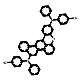 N#Cc1ccc(N(c2ccccc2)c2ccc3c(c2)Oc2cccc4c2c-3cc2c3ccccc3c(N(c3ccccc3)c3ccc(C#N)cc3)cc42)cc1